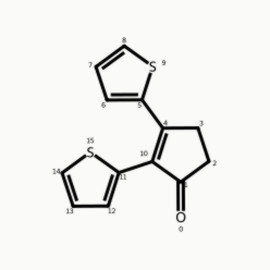 O=C1CCC(c2cccs2)=C1c1cccs1